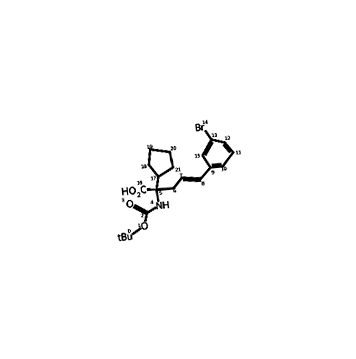 CC(C)(C)OC(=O)N[C@](C/C=C/c1cccc(Br)c1)(C(=O)O)C1CCCC1